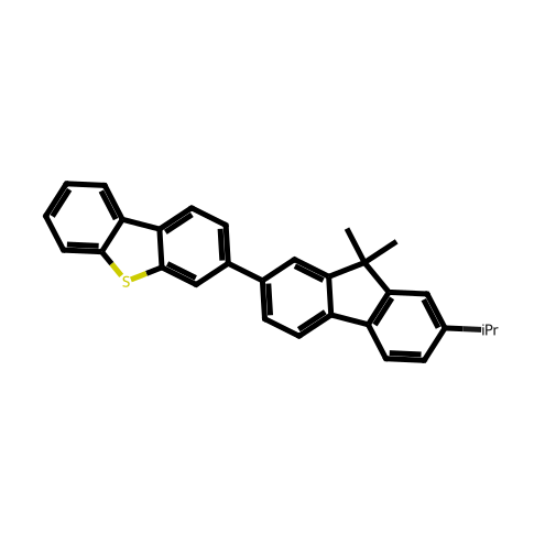 CC(C)c1ccc2c(c1)C(C)(C)c1cc(-c3ccc4c(c3)sc3ccccc34)ccc1-2